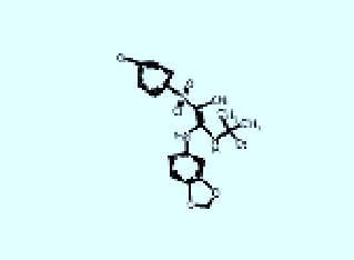 CCC(C)(C)NC(Nc1ccc2c(c1)OCO2)=C(C#N)S(=O)(=O)c1ccc(Cl)cc1